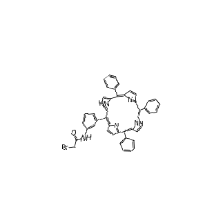 O=C(CBr)Nc1cccc(-c2c3nc(c(-c4ccccc4)c4ccc([nH]4)c(-c4ccccc4)c4nc(c(-c5ccccc5)c5ccc2[nH]5)C=C4)C=C3)c1